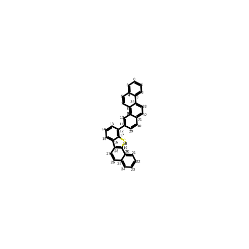 c1ccc2c(c1)ccc1c3cc(-c4cccc5c4sc4c6ccccc6ccc54)ccc3ccc21